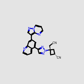 N#CC[C@]1(n2ncc(-c3cc(-c4cnn5cccnc45)cc4ncccc34)n2)C[C@@H](C#N)C1